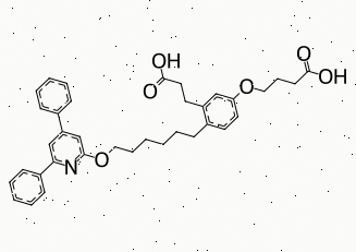 O=C(O)CCCOc1ccc(CCCCCCOc2cc(-c3ccccc3)cc(-c3ccccc3)n2)c(CCC(=O)O)c1